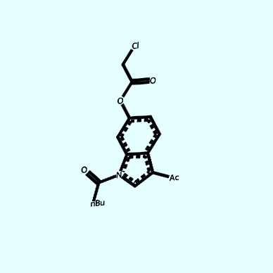 CCCCC(=O)n1cc(C(C)=O)c2ccc(OC(=O)CCl)cc21